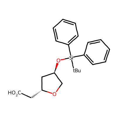 CC(C)(C)[Si](O[C@H]1CO[C@H](CC(=O)O)C1)(c1ccccc1)c1ccccc1